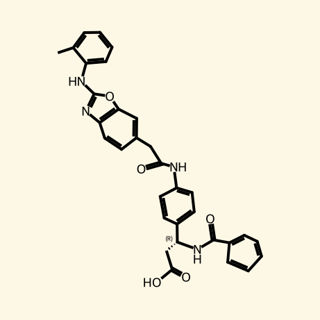 Cc1ccccc1Nc1nc2ccc(CC(=O)Nc3ccc([C@@H](CC(=O)O)NC(=O)c4ccccc4)cc3)cc2o1